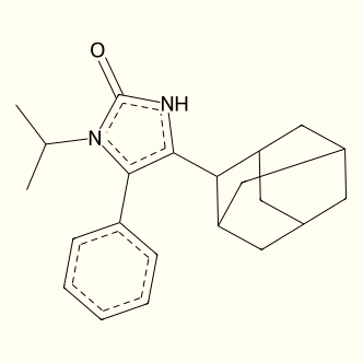 CC(C)n1c(-c2ccccc2)c(C2C3CC4CC(C3)CC2C4)[nH]c1=O